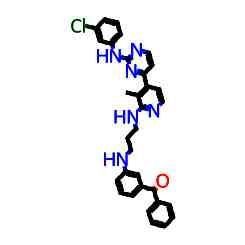 Cc1c(-c2ccnc(Nc3cccc(Cl)c3)n2)ccnc1NCCCNc1cccc(C(=O)c2ccccc2)c1